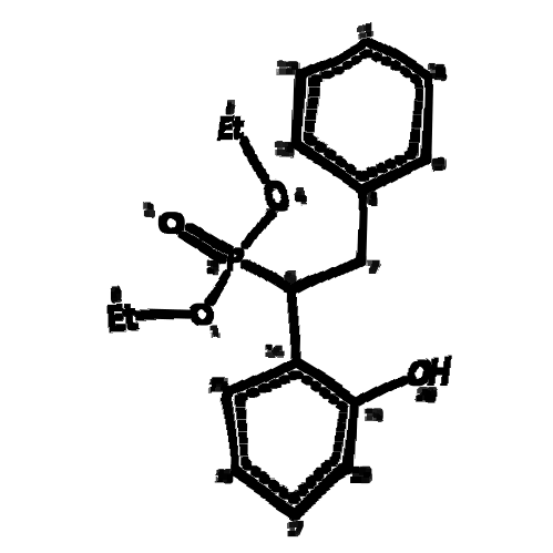 CCOP(=O)(OCC)C(Cc1ccccc1)c1ccccc1O